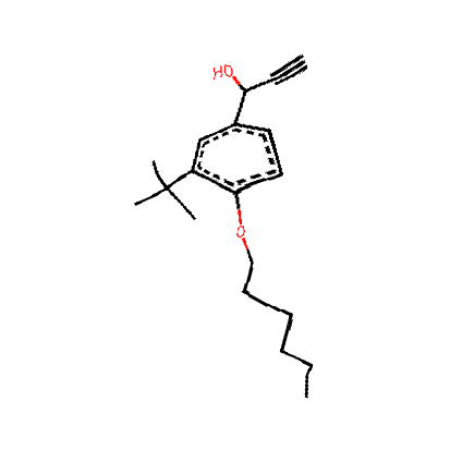 C#CC(O)c1ccc(OCCCCCC)c(C(C)(C)C)c1